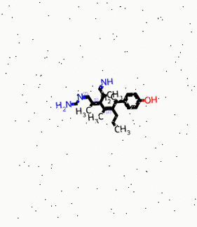 C=C(\C(CCC)=C(C)/C(=C(C)/C=N\CN)C(C)C=N)c1ccc(O)cc1